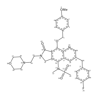 COc1ccc(COc2c3c(c(N(C)S(C)(=O)=O)c4cc(Cc5ccc(F)cc5)cnc24)CN(CCN2CCOCC2)C3=O)cc1